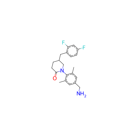 Cc1cc(CN)cc(C)c1N1CC(Cc2ccc(F)cc2F)CCC1=O